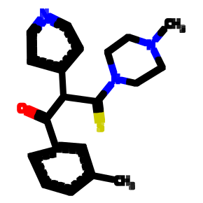 Cc1cccc(C(=O)C(C(=S)N2CCN(C)CC2)c2ccncc2)c1